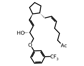 CC(=O)CCC/C=C\C[C@H]1CCC[C@@H]1/C=C/[C@@H](O)COc1cccc(C(F)(F)F)c1